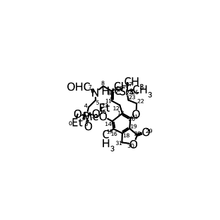 CCOP(=O)(CCN(C=O)C/C(C)=C/Cc1c(OC)c(C)c2c(c1OCC[Si](C)(C)C)C(=O)OC2)OCC